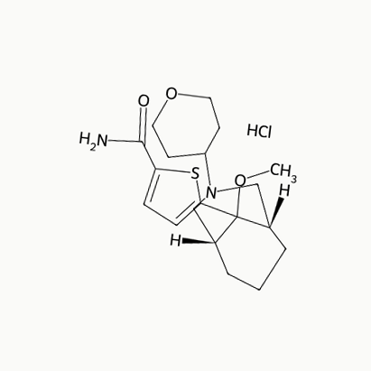 COC1(c2ccc(C(N)=O)s2)[C@@H]2CCC[C@H]1CN(C1CCOCC1)C2.Cl